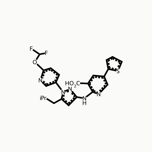 CC(C)Cc1cc(Nc2ncc(-c3cccs3)cc2C(=O)O)nn1-c1ccc(OC(F)F)nc1